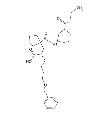 CCOC(=O)[C@@H]1CCC[C@H](NC(=O)C2(CC(CCCCOCc3ccccc3)C(=O)O)CCCC2)C1